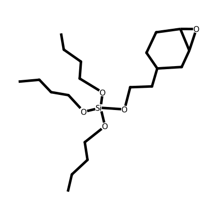 CCCCO[Si](OCCCC)(OCCCC)OCCC1CCC2OC2C1